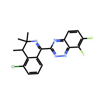 CC1c2c(Cl)cccc2C(c2nnc3c(F)c(F)ccc3n2)=NC1(C)C